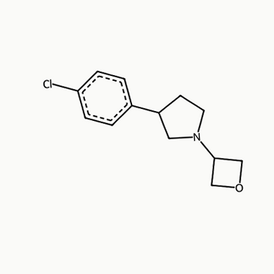 Clc1ccc(C2CCN(C3COC3)C2)cc1